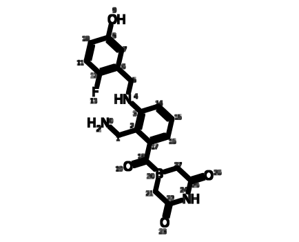 NCc1c(NCc2cc(O)ccc2F)cccc1C(=O)B1CC(=O)NC(=O)C1